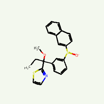 CCC(OC)(c1cccc([S+]([O-])c2ccc3ccccc3c2)c1)c1nccs1